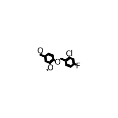 COc1cc(C=O)ccc1OCc1ccc(F)cc1Cl